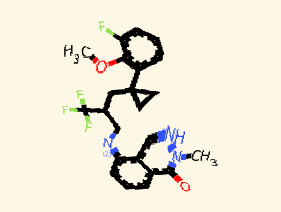 COc1c(F)cccc1C1(CC(C/N=c2/cccc3c(=O)n(C)[nH]cc2-3)C(F)(F)F)CC1